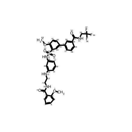 COc1ccccc1C(=O)NCCNc1cccc(NS(=O)(=O)c2cc(-c3cccc(C(=O)NCC(F)(F)F)c3)ccc2OC)c1